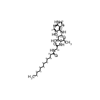 CCCCCCCCCCCC(=O)NCC(=O)N[C@@H]1[C@@H](O)[C@H](O)[C@@H](Nc2ncnc3[nH]cnc23)O[C@H]1C